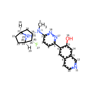 CN(c1ccc(-c2cc3ccncc3cc2O)nn1)[C@H]1C[C@@H]2CC[C@@H](N2)[C@H]1F